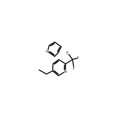 CCc1ccc(C(F)(F)F)nc1.c1ccncc1